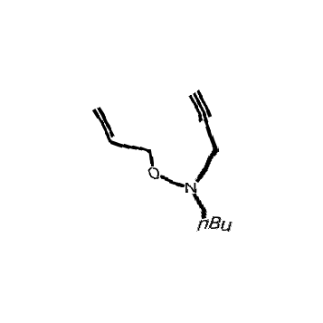 C#CCN(CCCC)OCC=C